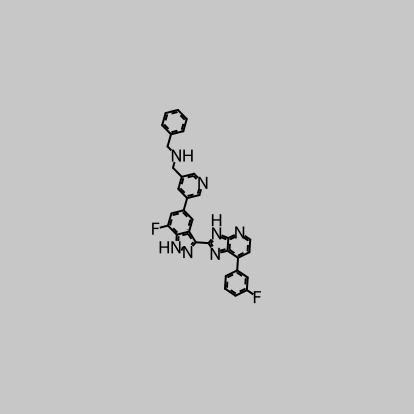 Fc1cccc(-c2ccnc3[nH]c(-c4n[nH]c5c(F)cc(-c6cncc(CNCc7ccccc7)c6)cc45)nc23)c1